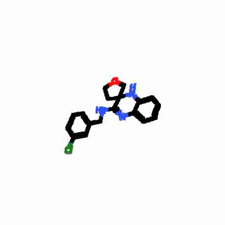 Clc1cccc(CNC2=Nc3ccccc3NC23CCOC3)c1